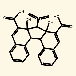 C=CCC1(O)C(C(=O)O)=Cc2ccccc2C1C1c2ccccc2C=C(C(=O)O)C1(O)CC=C